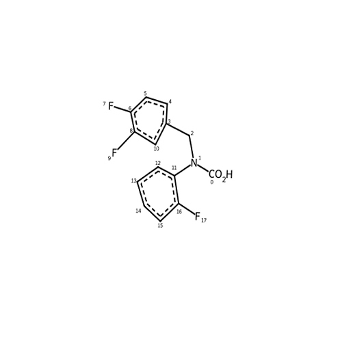 O=C(O)N(Cc1ccc(F)c(F)c1)c1ccccc1F